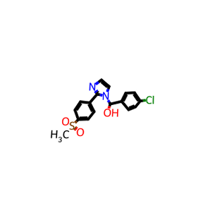 CS(=O)(=O)c1ccc(-c2nccn2C(O)c2ccc(Cl)cc2)cc1